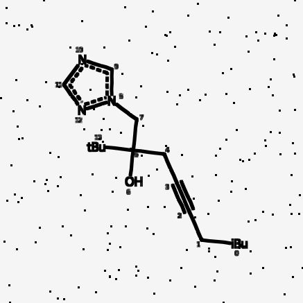 CCC(C)CC#CCC(O)(Cn1cncn1)C(C)(C)C